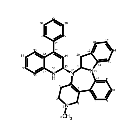 CN1CCC2=C(C1)c1ccccc1N1c3ccccc3CC1N2[C@@H]1C=C(c2ccccc2)c2ccccc2N1